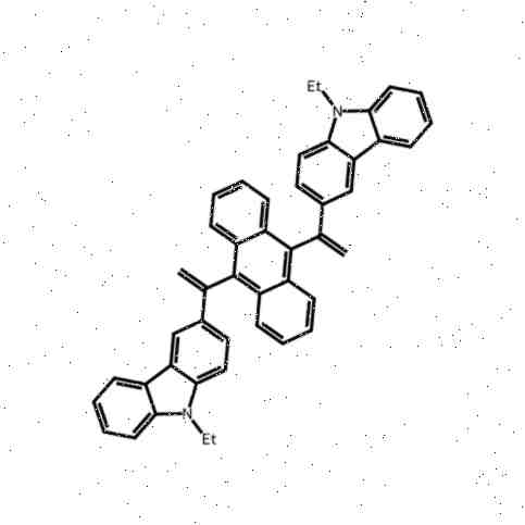 C=C(c1ccc2c(c1)c1ccccc1n2CC)c1c2ccccc2c(C(=C)c2ccc3c(c2)c2ccccc2n3CC)c2ccccc12